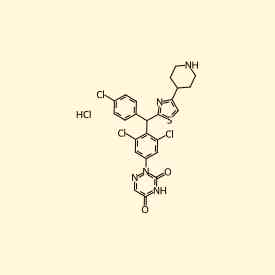 Cl.O=c1cnn(-c2cc(Cl)c(C(c3ccc(Cl)cc3)c3nc(C4CCNCC4)cs3)c(Cl)c2)c(=O)[nH]1